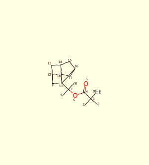 CCC(C)(C)C(=O)OC(C)(C)C12CC3CC4CC1CC432